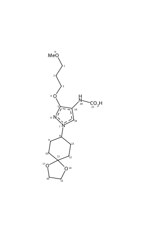 COCCCOc1nn(C2CCC3(CC2)OCCO3)cc1NC(=O)O